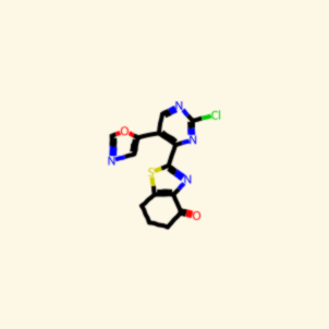 O=C1CCCc2sc(-c3nc(Cl)ncc3-c3cnco3)nc21